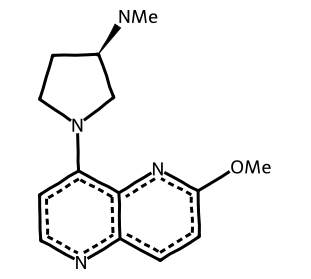 CN[C@@H]1CCN(c2ccnc3ccc(OC)nc23)C1